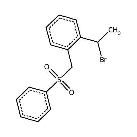 CC(Br)c1ccccc1CS(=O)(=O)c1ccccc1